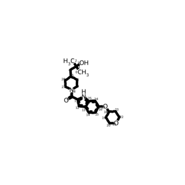 CC(C)(O)CC1CCN(C(=O)c2cc3ccc(OC4CCOCC4)cc3[nH]2)CC1